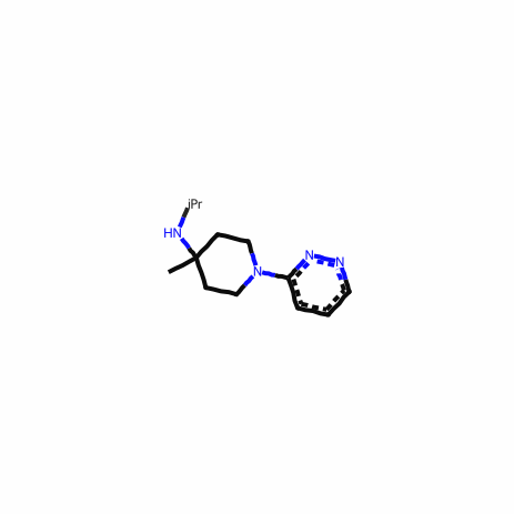 CC(C)NC1(C)CCN(c2cccnn2)CC1